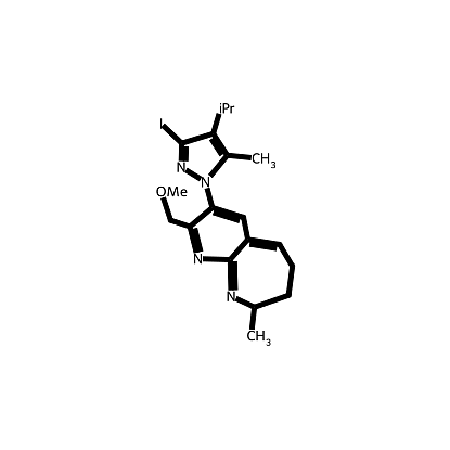 COCc1nc2c(cc1-n1nc(I)c(C(C)C)c1C)=CCCC(C)N=2